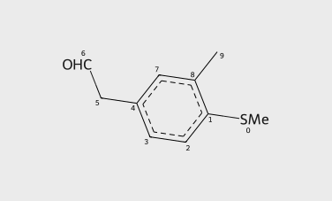 CSc1ccc(CC=O)cc1C